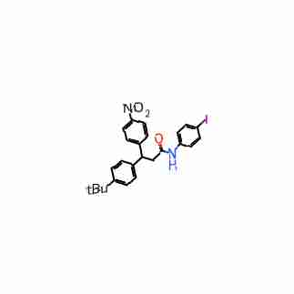 CC(C)(C)c1ccc(C(CC(=O)Nc2ccc(I)cc2)c2ccc([N+](=O)[O-])cc2)cc1